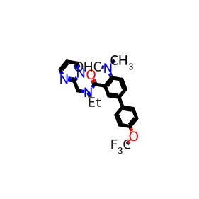 CCN(Cc1ncccn1)C(=O)c1cc(-c2ccc(OC(F)(F)F)cc2)ccc1N(C)C=O